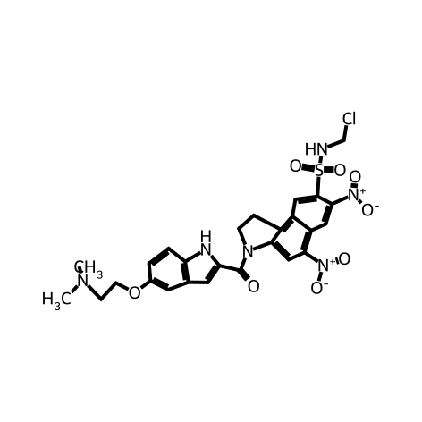 CN(C)CCOc1ccc2[nH]c(C(=O)N3CCc4c3cc([N+](=O)[O-])c3cc([N+](=O)[O-])c(S(=O)(=O)NCCl)cc43)cc2c1